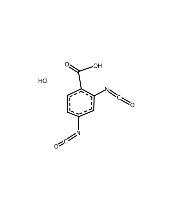 Cl.O=C=Nc1ccc(C(=O)O)c(N=C=O)c1